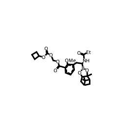 CCC(=O)NC(Cc1cccc(C(=O)OCOC(=O)OC2CCC2)c1OC)B1OC2CC3CC(C3(C)C)C2(C)O1